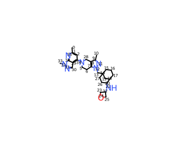 Cc1cc(N2CCc3c(c(C)nn3CC34CCCC(C3)C(NC3COC3)CC4)C2)c2cnn(C)c2n1